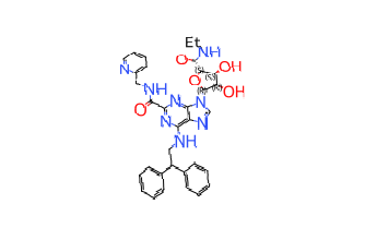 CCNC(=O)[C@H]1O[C@@H](n2cnc3c(NCC(c4ccccc4)c4ccccc4)nc(C(=O)NCc4ccccn4)nc32)[C@H](O)[C@@H]1O